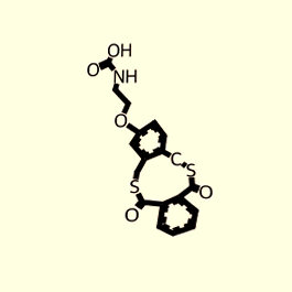 O=C(O)NCCOc1ccc2c(c1)CSC(=O)c1ccccc1C(=O)SC2